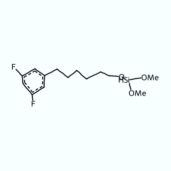 CO[SiH](OC)OCCCCCCc1cc(F)cc(F)c1